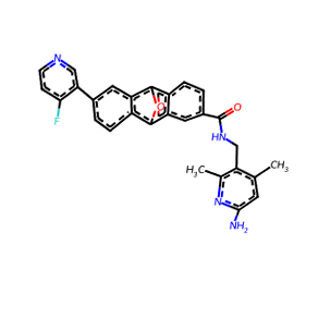 Cc1cc(N)nc(C)c1CNC(=O)c1ccc2c(c1)c1oc2c2cc(-c3cnccc3F)ccc21